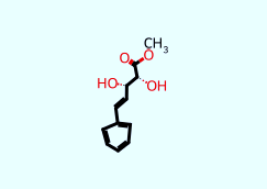 COC(=O)[C@H](O)[C@@H](O)/C=C/c1ccccc1